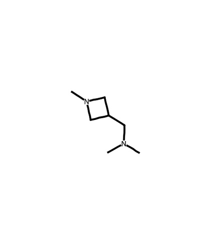 CN(C)CC1CN(C)C1